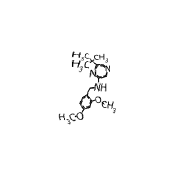 COc1ccc(CNc2cncc(C(C)(C)C)n2)c(OC)c1